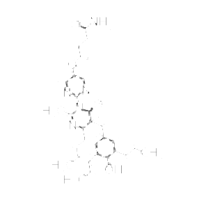 CCCCc1nc(C)n(-c2ncc(OCCCC(N)=O)cn2)c(=O)c1Cc1cc(CCC)c(O)c(CCC)c1